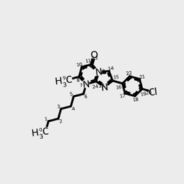 CCCCCCCn1c(C)cc(=O)n2cc(-c3ccc(Cl)cc3)nc12